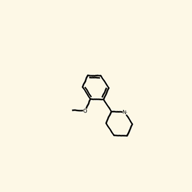 COc1ccccc1C1CCCC[N]1